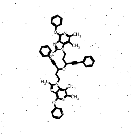 Cc1nc(Oc2ccccc2)c2nc(C)n(CCC(C#Cc3ccccc3)OC(C#Cc3ccccc3)CCn3c(C)nc4c(Oc5ccccc5)nc(C)c(C)c43)c2c1C